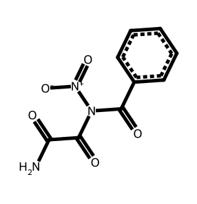 NC(=O)C(=O)N(C(=O)c1ccccc1)[N+](=O)[O-]